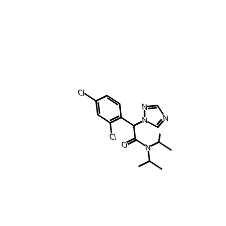 CC(C)N(C(=O)C(c1ccc(Cl)cc1Cl)n1cncn1)C(C)C